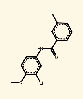 COc1ccc(NC(=O)c2cccc(C)c2)cc1Cl